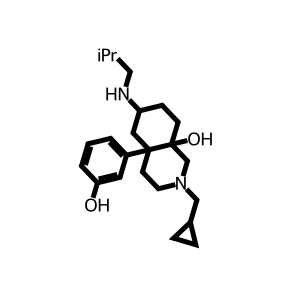 CC(C)CNC1CCC2(O)CN(CC3CC3)CCC2(c2cccc(O)c2)C1